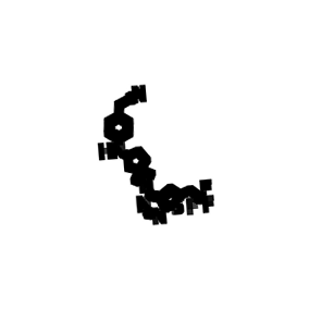 N#CCc1ccc(NC2CCC3(C2)CN(c2ncnc4sc(CC(F)(F)F)cc24)C3)cc1